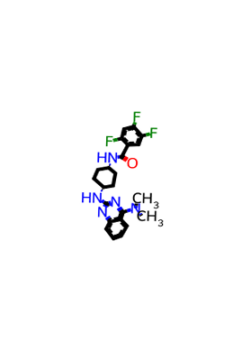 CN(C)c1nc(N[C@H]2CC[C@@H](NC(=O)c3cc(F)c(F)cc3F)CC2)nc2ccccc12